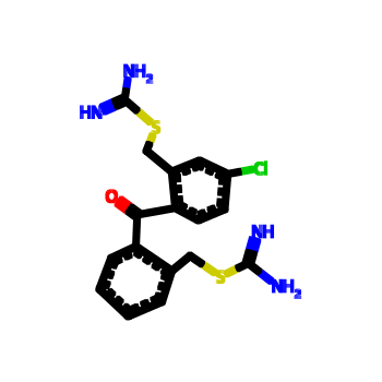 N=C(N)SCc1ccccc1C(=O)c1ccc(Cl)cc1CSC(=N)N